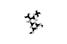 COc1nc(N[C@H](C(=O)OC(C)(C)C)C(C)C)nc(OC)n1